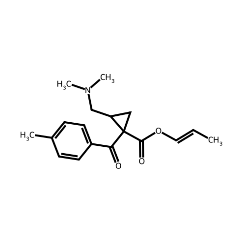 CC=COC(=O)C1(C(=O)c2ccc(C)cc2)CC1CN(C)C